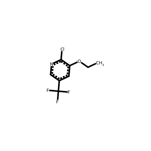 CCOc1cc(C(F)(F)F)cnc1Cl